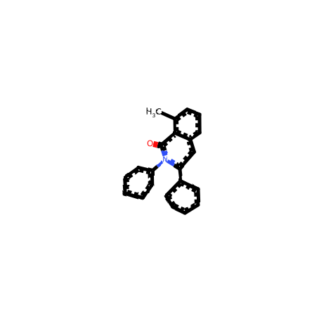 Cc1cccc2cc(-c3ccccc3)n(-c3ccccc3)c(=O)c12